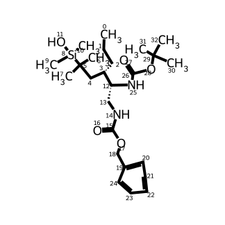 CCC[C@@H](CC(C)(C)[Si](C)(C)O)[C@@H](CNC(=O)OCc1ccccc1)NC(=O)OC(C)(C)C